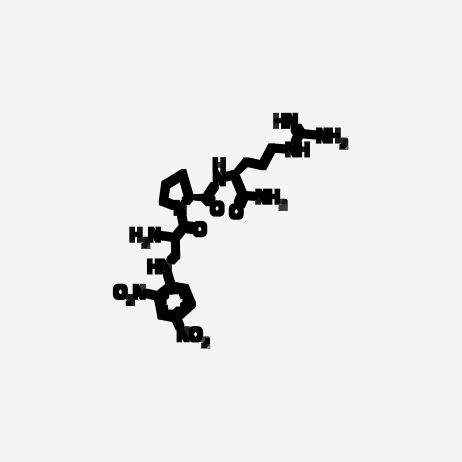 N=C(N)NCCC[C@H](NC(=O)[C@@H]1CCCN1C(=O)C(N)CNc1ccc([N+](=O)[O-])cc1[N+](=O)[O-])C(N)=O